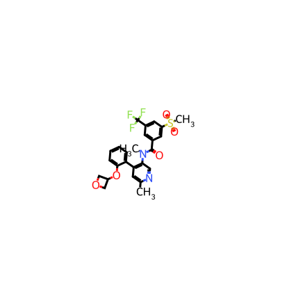 Cc1cc(-c2ccccc2OC2COC2)c(N(C)C(=O)c2cc(C(F)(F)F)cc(S(C)(=O)=O)c2)cn1